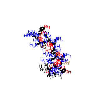 CC[C@H](C)[C@H](NC(=O)[C@@H]1CCCN1C(=O)[C@@H](N)C(C)C)C(=O)N[C@H](C(=O)N[C@@H](Cc1ccc(O)cc1)C(=O)N[C@@H](CS)C(=O)N[C@@H](CC(N)=O)C(=O)N[C@@H](CCCNC(=N)N)C(=O)N[C@@H](CCN)C(=O)N[C@H](C(=O)N[C@H](CCN)C(=O)N[C@@H](CCCCN)C(=O)N[C@@H](CS)C(=O)N[C@@H](CCN)C(=O)N[C@@H](CCCNC(=N)N)C(=O)N[C@@H](Cc1ccc(O)cc1)C(=O)O)[C@@H](C)O)[C@@H](C)O